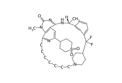 C[C@H]1Nc2nc(=O)n(C)c3c(nc(C4CCS(=O)(=O)CC4)cc23)CCCCCCCN2CCC(CC2)C(F)(F)c2cccc1c2